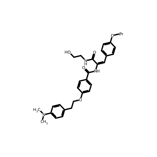 CC(C)Oc1ccc(/C=C(/NC(=O)c2ccc(OCCc3ccc(N(C)C)cc3)cc2)C(=O)NCCO)cc1